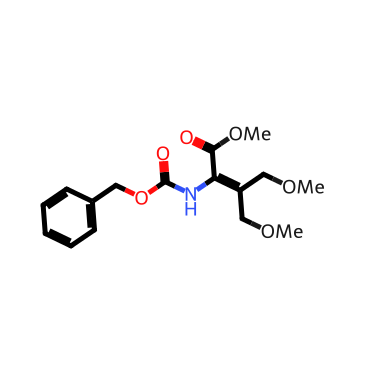 COCC(COC)=C(NC(=O)OCc1ccccc1)C(=O)OC